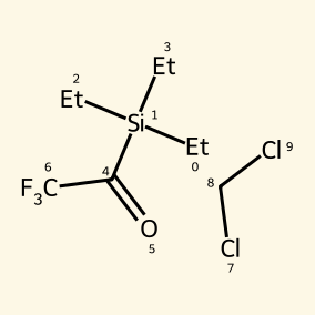 CC[Si](CC)(CC)C(=O)C(F)(F)F.ClCCl